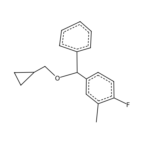 Cc1cc(C(OCC2CC2)c2ccccc2)ccc1F